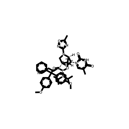 COc1ccc(C(OC[C@@]23CN(c4noc(C)n4)[C@@H]([C@H](n4cc(C)c(=O)[nH]c4=O)O2)[C@@H]3OP(OCCC#N)N(C(C)C)C(C)C)(c2ccccc2)c2ccc(OC)cc2)cc1